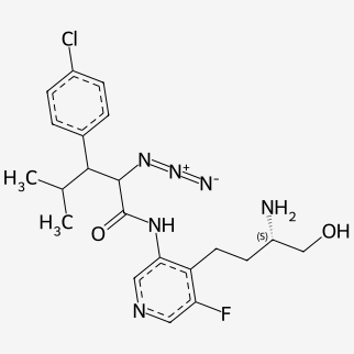 CC(C)C(c1ccc(Cl)cc1)C(N=[N+]=[N-])C(=O)Nc1cncc(F)c1CC[C@H](N)CO